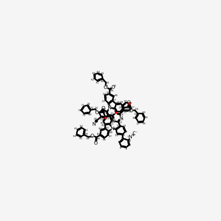 [C-]#[N+]c1ccccc1-c1ccc(-c2nc(-c3ccccc3)nc(-c3cc(C#N)ccc3-n3c4ccc(C(=O)OCc5ccccc5)cc4c4cc(C(=O)OCc5ccccc5)ccc43)n2)c(-n2c3ccc(C(=O)OCc4ccccc4)cc3c3cc(C(=O)OCc4ccccc4)ccc32)c1